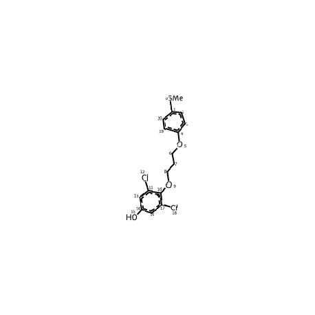 CSc1ccc(OCCCOc2c(Cl)cc(O)cc2Cl)cc1